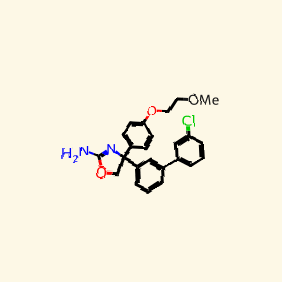 COCCOc1ccc(C2(c3cccc(-c4cccc(Cl)c4)c3)COC(N)=N2)cc1